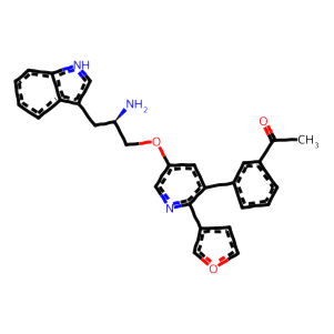 CC(=O)c1cccc(-c2cc(OC[C@H](N)Cc3c[nH]c4ccccc34)cnc2-c2ccoc2)c1